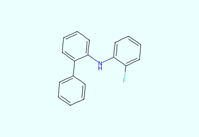 Fc1ccccc1Nc1ccccc1-c1ccccc1